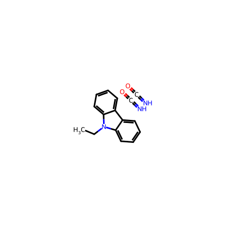 CCn1c2ccccc2c2ccccc21.N=C=O.N=C=O